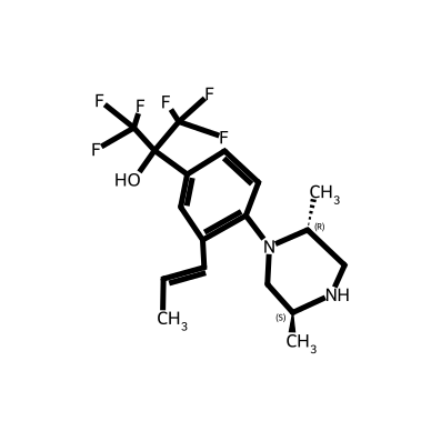 CC=Cc1cc(C(O)(C(F)(F)F)C(F)(F)F)ccc1N1C[C@H](C)NC[C@H]1C